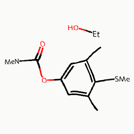 CCO.CNC(=O)Oc1cc(C)c(SC)c(C)c1